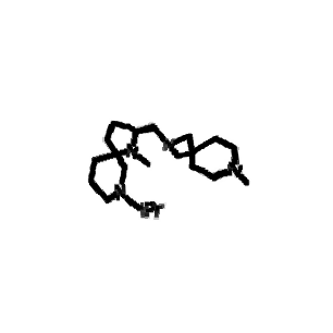 CC(C)N1CCCC2(CCC(CN3CC4(CCN(C)CC4)C3)N2C)C1